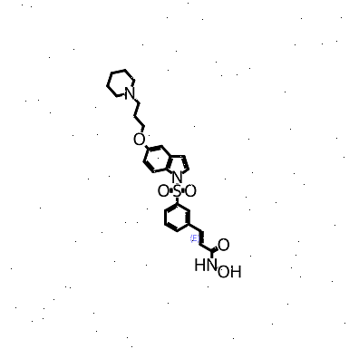 O=C(/C=C/c1cccc(S(=O)(=O)n2ccc3cc(OCCCN4CCCCC4)ccc32)c1)NO